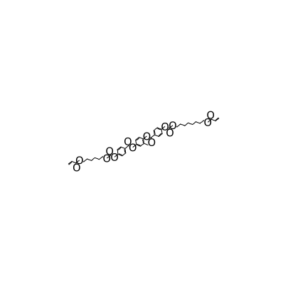 C=CC(=O)OCCCCCCCCOC(=O)Oc1ccc(C(=O)Oc2ccc(OC(=O)c3ccc(OC(=O)OCCCCCCOC(=O)C=C)cc3)cc2C)cc1